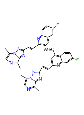 COc1cc(C=Cc2nc3c(C)ncc(C)n3n2)nc2cc(F)ccc12.Cc1ncc(C)n2nc(C=Cc3ccc4cc(F)ccc4n3)nc12